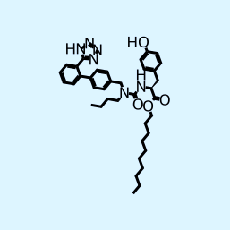 CCCCCCCCCCOC(=O)[C@H](Cc1ccc(O)cc1)NC(=O)N(CCCC)Cc1ccc(-c2ccccc2-c2nnn[nH]2)cc1